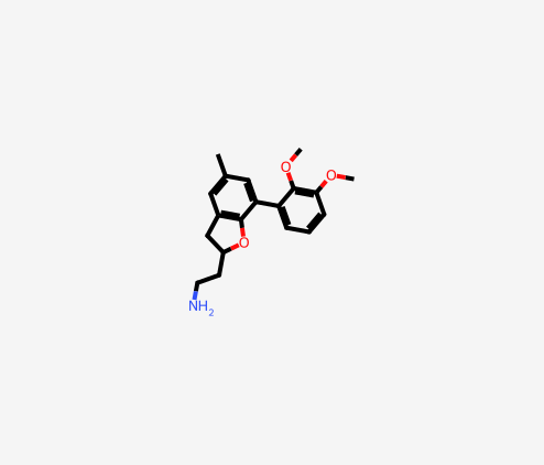 COc1cccc(-c2cc(C)cc3c2OC(CCN)C3)c1OC